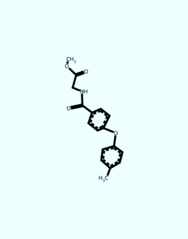 COC(=O)CNC(=O)c1ccc(Oc2ccc(C)cc2)cc1